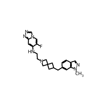 Cn1ncc2ccc(CC3CC4(C3)CN(CCNc3cc5nncn5cc3F)C4)cc21